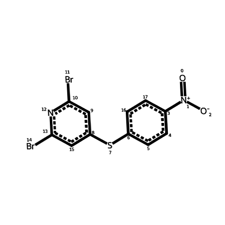 O=[N+]([O-])c1ccc(Sc2cc(Br)nc(Br)c2)cc1